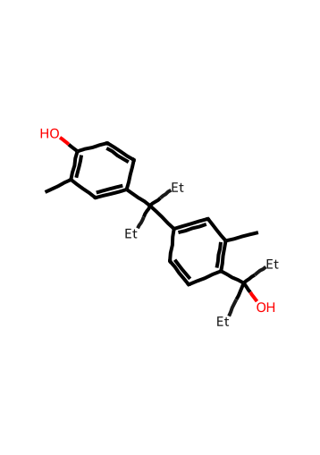 CCC(O)(CC)c1ccc(C(CC)(CC)c2ccc(O)c(C)c2)cc1C